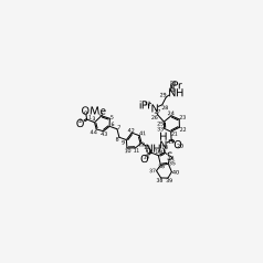 COC(=O)c1ccc(CCc2ccc(NC(=O)c3c(NC(=O)c4cccc(CN(CCNC(C)C)C(C)C)c4)sc4c3CCCC4)cc2)cc1